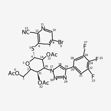 CC(=O)OCC1O[C@H](Sc2cc(Br)cnc2C#N)C(OC(C)=O)C(n2cc(-c3cc(F)c(F)c(F)c3)nn2)[C@H]1OC(C)=O